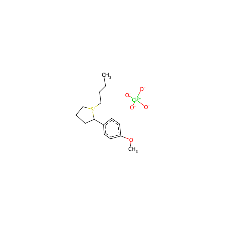 CCCC[S+]1CCCC1c1ccc(OC)cc1.[O-][Cl+3]([O-])([O-])[O-]